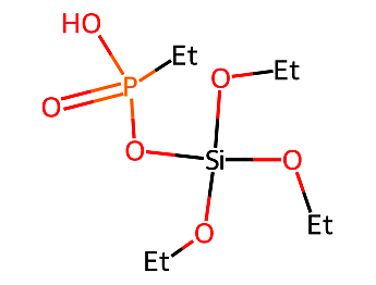 CCO[Si](OCC)(OCC)OP(=O)(O)CC